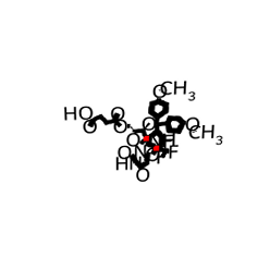 COc1ccc(C(O[C@H]2[C@@H](NC(=O)C(F)(F)F)[C@H](n3ccc(=O)[nH]c3=O)O[C@@H]2COC(=O)CCC(=O)O)(c2ccccc2)c2ccc(OC)cc2)cc1